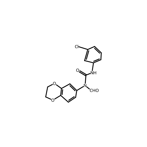 O=CN(C(=O)Nc1cccc(Cl)c1)c1ccc2c(c1)OCCO2